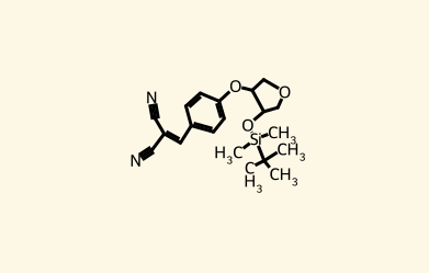 CC(C)(C)[Si](C)(C)OC1COCC1Oc1ccc(C=C(C#N)C#N)cc1